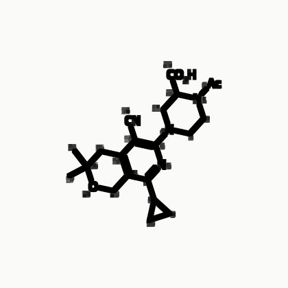 CC(=O)N1CCN(c2nc(C3CC3)c3c(c2C#N)CC(C)(C)OC3)CC1C(=O)O